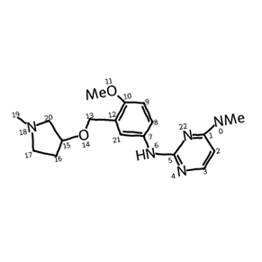 CNc1ccnc(Nc2ccc(OC)c(COC3CCN(C)C3)c2)n1